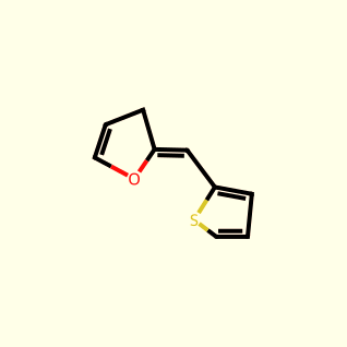 C1=COC(=Cc2cccs2)C1